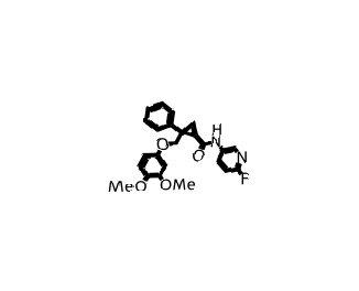 COc1ccc(OCC2(c3ccccc3)CC2C(=O)Nc2ccc(F)nc2)cc1OC